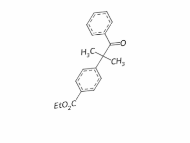 CCOC(=O)c1ccc(C(C)(C)C(=O)c2ccccc2)cc1